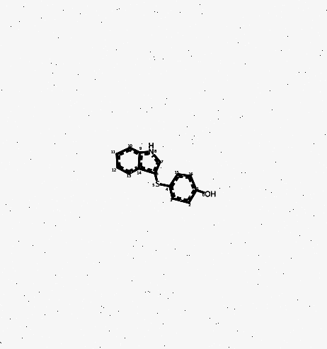 Oc1ccc(Sc2c[nH]c3ccccc23)cc1